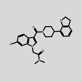 CN(C)C(=O)Cn1cc(C(=O)N2CCC(c3cccc4c3OCC4)CC2)c2ccc(Cl)cc21